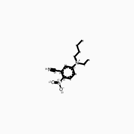 CCCCN(CC)c1ccc([N+](=O)[O-])c(C#N)c1